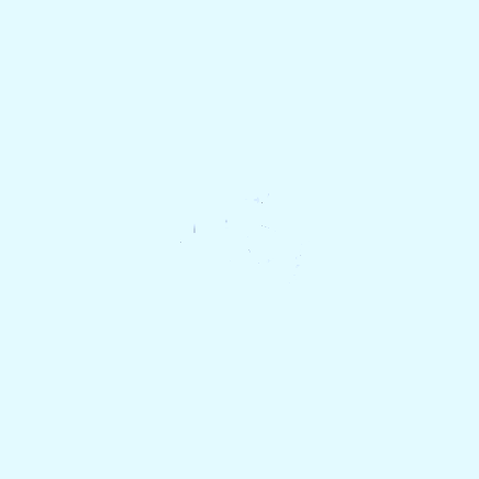 CC1CC(C)(C)C(=O)C(C(=O)c2ccc(S(C)(=O)=O)cc2[N+](=O)[O-])C1=O